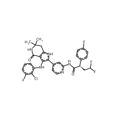 CC1(C)Cc2[nH]c(-c3ccnc(NC(=O)[C@H](CC(F)F)c4ccc(F)cc4)c3)c(Nc3cccc(F)c3Cl)c2C(=O)N1